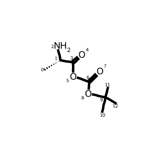 C[C@H](N)C(=O)OC(=O)OC(C)(C)C